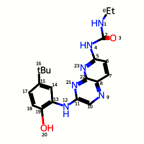 CCNC(=O)Nc1ccc2ncc(Nc3cc(C(C)(C)C)ccc3O)nc2n1